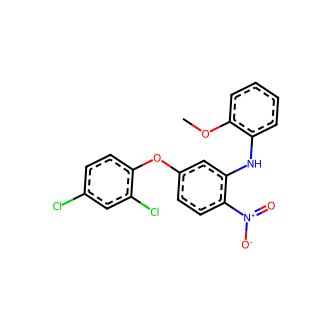 COc1ccccc1Nc1cc(Oc2ccc(Cl)cc2Cl)ccc1[N+](=O)[O-]